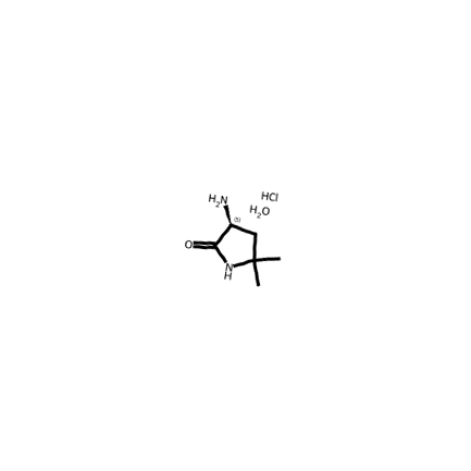 CC1(C)C[C@H](N)C(=O)N1.Cl.O